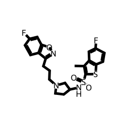 Cc1c(S(=O)(=O)NC2CCN(CCCc3noc4cc(F)ccc34)C2)sc2ccc(F)cc12